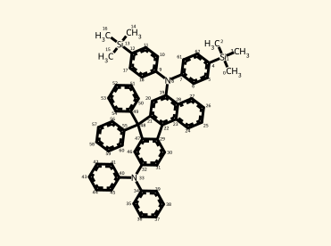 C[Si](C)(C)c1ccc(N(c2ccc([Si](C)(C)C)cc2)c2cc3c(c4ccccc24)-c2ccc(N(c4ccccc4)c4ccccc4)cc2C3(c2ccccc2)c2ccccc2)cc1